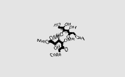 COCC(=O)[C@@H](OC)[C@H](OC)[C@H](O)COC.O=C(CO)[C@@H](O)[C@H](O)[C@H](O)CO